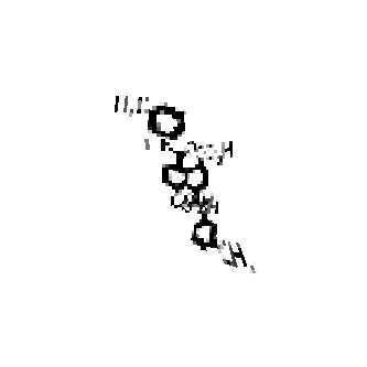 Cc1cccc(BC(=O)c2ccc(C(=O)O)c3c(C(=O)Nc4cccc(C)c4)ccc(C(=O)O)c23)c1